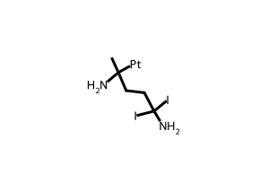 C[C](N)([Pt])CCC(N)(I)I